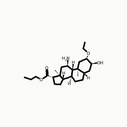 CCCOC(=O)[C@H]1CC[C@H]2[C@@H]3CC[C@H]4C[C@H](O)[C@@H](OCC)C[C@]4(C)[C@H]3[C@H](N)C[C@]12C